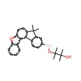 CC1(C)c2cc(BOC(C)(C)C(C)(C)O)ccc2-c2c1ccc1oc3ccccc3c21